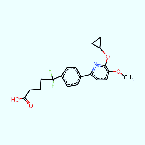 COc1ccc(-c2ccc(C(F)(F)CCCC(=O)O)cc2)nc1OC1CC1